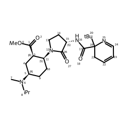 COC(=O)[C@@H]1C[C@H](N(C)C(C)C)CC[C@@H]1N1CC[C@H](NC(=O)C2(C(C)(C)C)CC=CC=N2)C1=O